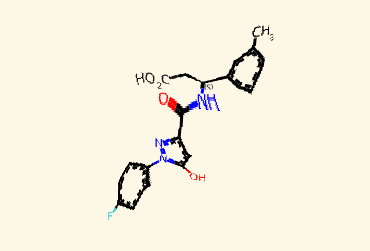 Cc1cccc([C@H](CC(=O)O)NC(=O)c2cc(O)n(-c3ccc(F)cc3)n2)c1